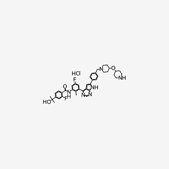 Cc1c(NC(=O)c2ccc(C(C)(C)O)cc2F)cc(F)cc1-c1ncnc2[nH]c(-c3ccc(CN4CCC(OC5CCNCC5)CC4)cc3)cc12.Cl